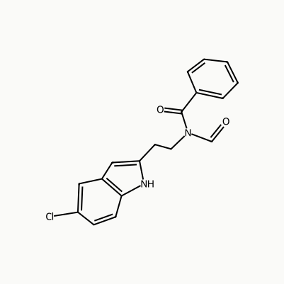 O=CN(CCc1cc2cc(Cl)ccc2[nH]1)C(=O)c1ccccc1